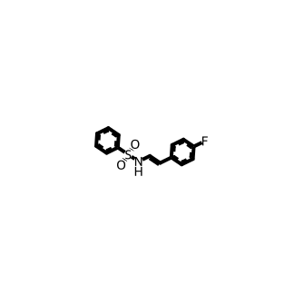 O=S(=O)(N/C=C/c1ccc(F)cc1)c1ccccc1